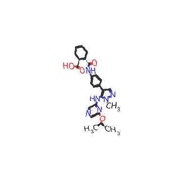 CC(C)Oc1cncc(Nc2c(-c3ccc(NC(=O)[C@H]4CCCC[C@@H]4C(=O)O)cc3)cnn2C)n1